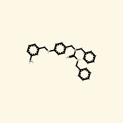 Nc1cccc(COc2ccc(CN(Cc3ccccc3)C(=O)OCc3ccccc3)cc2)c1